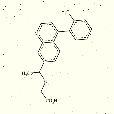 Cc1ccccc1-c1ccnc2cc(C(C)OCC(=O)O)ccc12